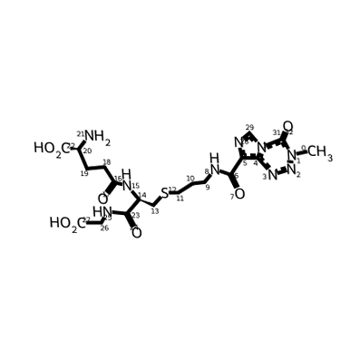 Cn1nnc2c(C(=O)NCCCSC[C@H](NC(=O)CC[C@H](N)C(=O)O)C(=O)NCC(=O)O)ncn2c1=O